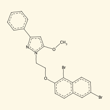 COc1cc(-c2ccccc2)nn1CCOc1ccc2cc(Br)ccc2c1Br